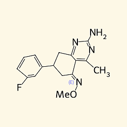 CO/N=C1\CC(c2cccc(F)c2)Cc2nc(N)nc(C)c21